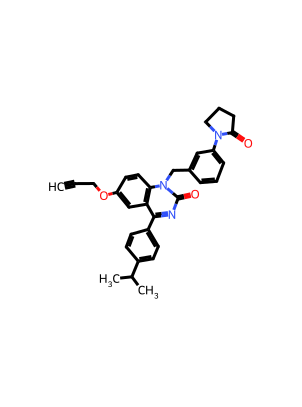 C#CCOc1ccc2c(c1)c(-c1ccc(C(C)C)cc1)nc(=O)n2Cc1cccc(N2CCCC2=O)c1